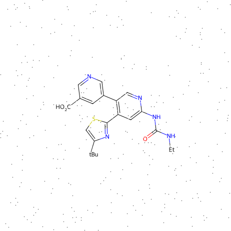 CCNC(=O)Nc1cc(-c2nc(C(C)(C)C)cs2)c(-c2cncc(C(=O)O)c2)cn1